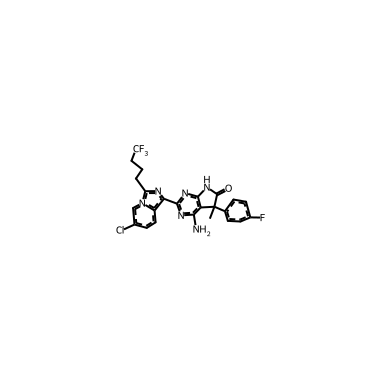 CC1(c2ccc(F)cc2)C(=O)Nc2nc(-c3nc(CCCC(F)(F)F)n4cc(Cl)ccc34)nc(N)c21